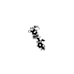 CCn1c([C@@H](C)NS(=O)(=O)c2cnc(NN)c(Cl)c2)nc2ccc(C(F)(F)F)cc21